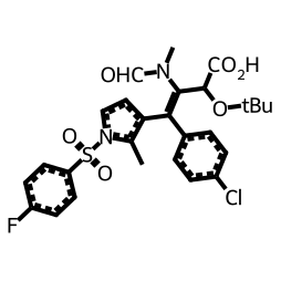 Cc1c(/C(=C(/C(OC(C)(C)C)C(=O)O)N(C)C=O)c2ccc(Cl)cc2)ccn1S(=O)(=O)c1ccc(F)cc1